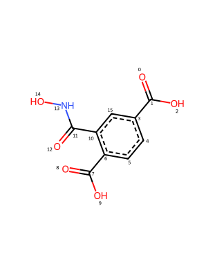 O=C(O)c1ccc(C(=O)O)c(C(=O)NO)c1